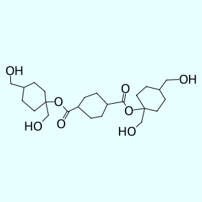 O=C(OC1(CO)CCC(CO)CC1)C1CCC(C(=O)OC2(CO)CCC(CO)CC2)CC1